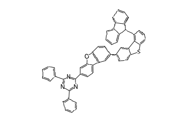 c1ccc(-c2nc(-c3ccccc3)nc(-c3ccc4c(c3)oc3ccc(-c5ccc6sc7cccc(C8c9ccccc9-c9ccccc98)c7c6c5)cc34)n2)cc1